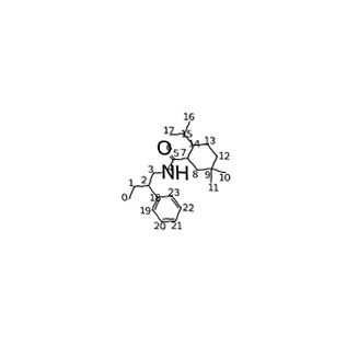 CCC(CNC(=O)C1CC(C)(C)CCC1C(C)C)c1ccccc1